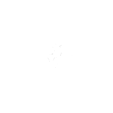 CCOC(=O)C1C(=O)CCC1c1cc(OC)cc(OC)c1